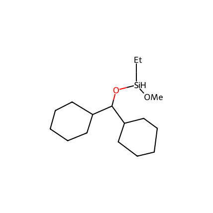 CC[SiH](OC)OC(C1CCCCC1)C1CCCCC1